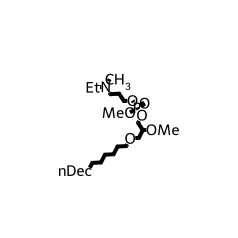 CCCCCCCCCCCCCCCCOCC(COP(=O)(OC)OCCCN(C)CC)OC